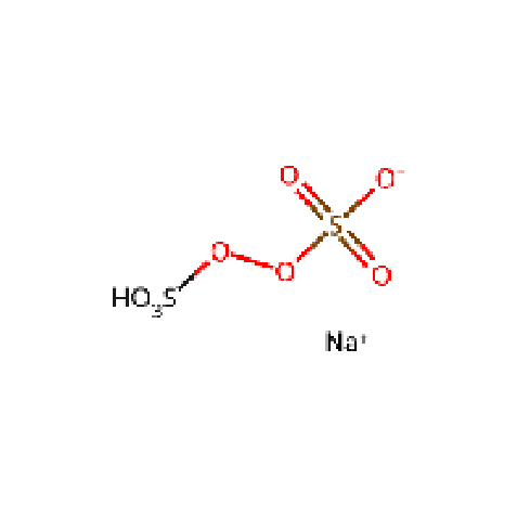 O=S(=O)([O-])OOS(=O)(=O)O.[Na+]